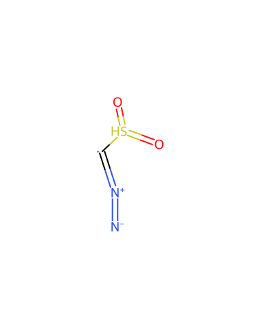 [N-]=[N+]=[C][SH](=O)=O